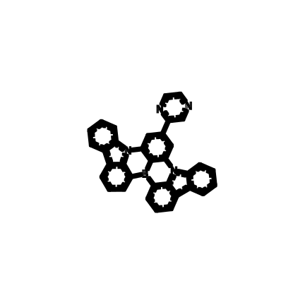 c1ccc2c(c1)c1cccc3c1n2-c1cc(-c2cnccn2)cc2c1B3c1cccc3c4ccccc4n-2c13